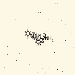 Cc1ccccc1N1CCCN(c2ccnc3sc(C(N)=O)c(N)c23)CC1